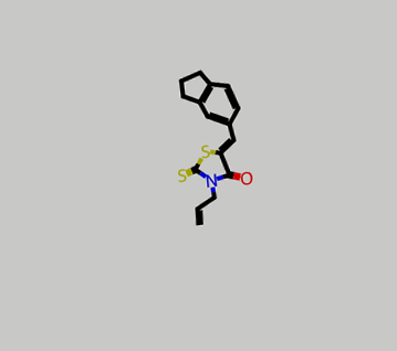 C=CCN1C(=O)C(=Cc2ccc3c(c2)CCC3)SC1=S